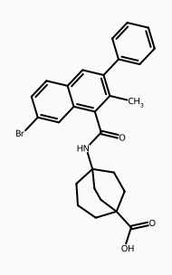 Cc1c(-c2ccccc2)cc2ccc(Br)cc2c1C(=O)NC12CCCC(C(=O)O)(CC1)CC2